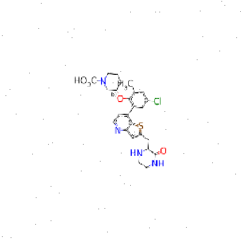 Cc1cc(Cl)cc(-c2ccnc3cc(CC4NCCNC4=O)sc23)c1O[C@H]1CCCN(C(=O)O)C1